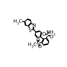 Cc1ccc2nc(-c3ccc(-c4c(S(C)(=O)=O)cccc4S(N)(=O)=O)cc3)sc2c1